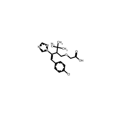 CC(C)(C)C(COCC(=O)O)/C(=C\c1ccc(Cl)cc1)n1cncn1